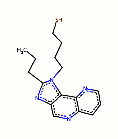 CCCc1nc2cnc3cccnc3c2n1CCCCS